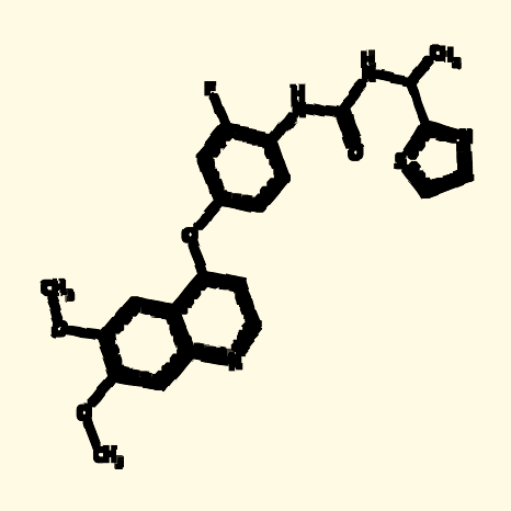 COc1cc2nccc(Oc3ccc(NC(=O)NC(C)c4nccs4)c(F)c3)c2cc1OC